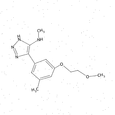 CNc1[nH]nnc1-c1cc(C)cc(OCCOC)c1